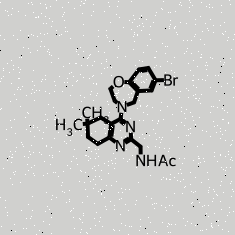 CC(=O)NCc1nc2c(c(N3CCOc4ccc(Br)cc4C3)n1)CC(C)(C)CC2